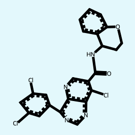 O=C(NC1CCOc2ccccc21)c1cnc2c(-c3cc(Cl)cc(Cl)c3)ncnc2c1Cl